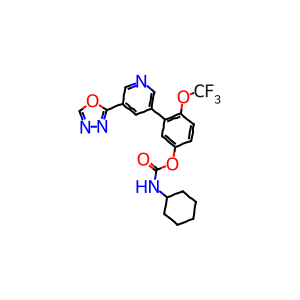 O=C(NC1CCCCC1)Oc1ccc(OC(F)(F)F)c(-c2cncc(-c3nnco3)c2)c1